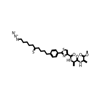 C=C(NC(=O)c1csc(-c2ccc(CCCCC(=S)CCCCCN=[N+]=[N-])cc2)n1)C(=O)NC(=C)C(=O)OC